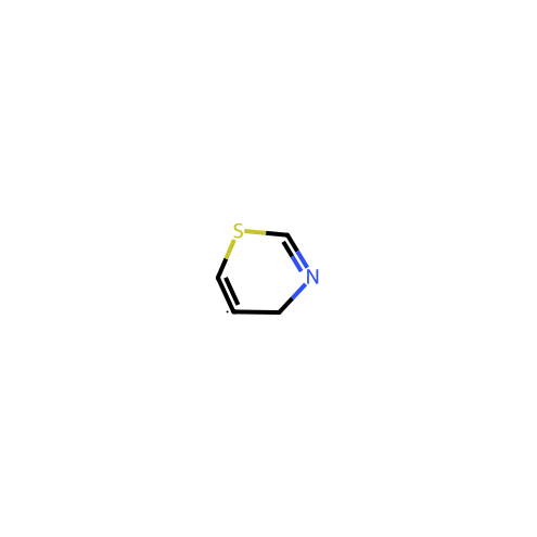 [C]1=CSC=NC1